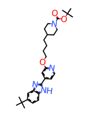 CC(C)(C)OC(=O)N1CCC(CCCCOc2cc(-c3nc4cc(C(C)(C)C)ccc4[nH]3)ccn2)CC1